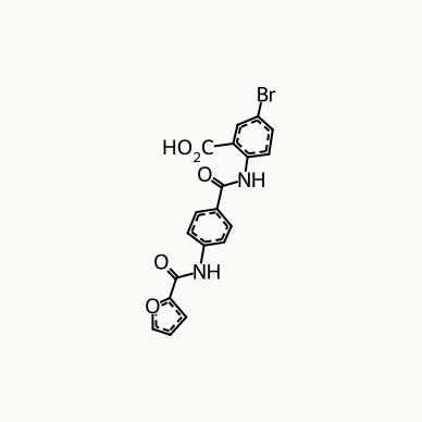 O=C(Nc1ccc(Br)cc1C(=O)O)c1ccc(NC(=O)c2ccco2)cc1